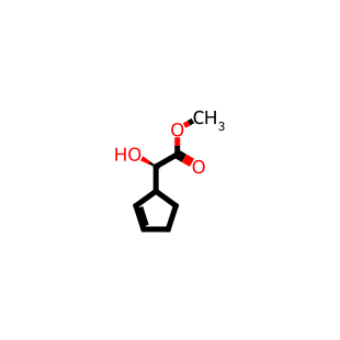 COC(=O)[C@H](O)C1C=CCC1